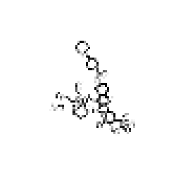 CCc1c2c(nc3ccc(OC(=O)N4CCC(N5CCCCC5)CC4)cc13)-c1cc3c(c(=O)n1C2)COC(=O)[C@]3(O)CC.Cl.O=P1(N(CCCl)CCCl)NCCCO1